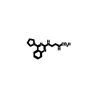 O=C(O)NCCNc1nc(N2CCCC2)c2ccccc2n1